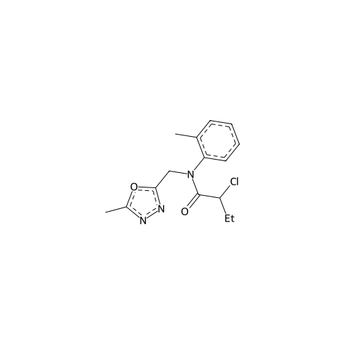 CCC(Cl)C(=O)N(Cc1nnc(C)o1)c1ccccc1C